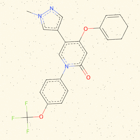 Cn1cc(-c2cn(-c3ccc(OC(F)(F)F)cc3)c(=O)cc2OC2=CCCC=C2)cn1